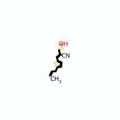 C/C=C\Cc1ccc(/C=C(\C#N)CSO)s1